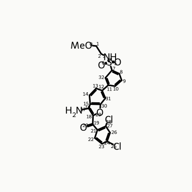 COCCNS(=O)(=O)c1cccc(-c2ccc3c(N)c(C(=O)c4ccc(Cl)cc4Cl)oc3c2)c1